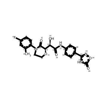 Cc1cc(F)ccc1N1CCO[C@H]([C@@H](O)C(=O)Nc2ccc(-c3noc(=O)[nH]3)cc2)C1=O